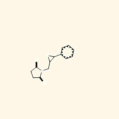 O=C1CCC(=O)N1CC1OC1c1ccccc1